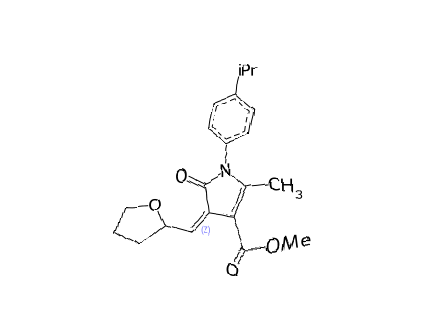 COC(=O)C1=C(C)N(c2ccc(C(C)C)cc2)C(=O)/C1=C\C1CCCO1